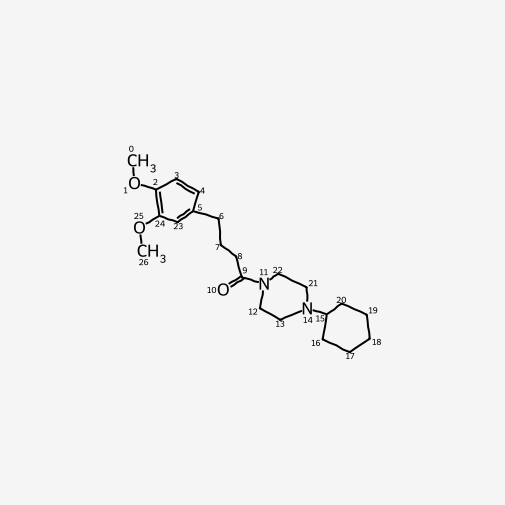 COc1ccc(CCCC(=O)N2CCN(C3CCCCC3)CC2)cc1OC